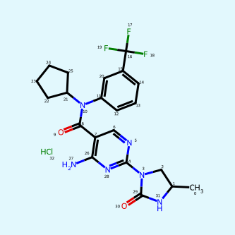 CC1CN(c2ncc(C(=O)N(c3cccc(C(F)(F)F)c3)C3CCCC3)c(N)n2)C(=O)N1.Cl